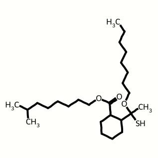 CCCCCCCCOC(C)(S)C1CCCCC1C(=O)OCCCCCCC(C)C